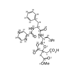 COC(=O)CC1(CC(=O)O)OB([C@H](CC(C)C)NC(=O)C(Cc2ccccc2)NC(=O)c2cnccn2)OC1=O